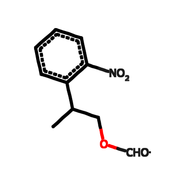 CC(CO[C]=O)c1ccccc1[N+](=O)[O-]